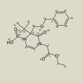 CCOC(=O)CN1C=CN(C(=O)O)C(COCc2ccccc2)(C(C)(C)C)C1=O